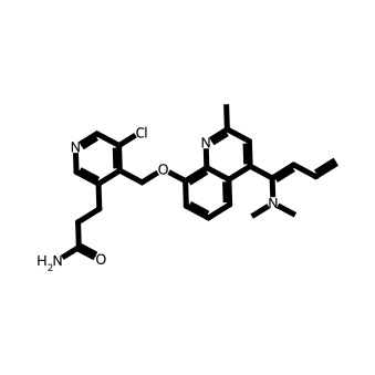 C=C/C=C(/c1cc(C)nc2c(OCc3c(Cl)cncc3CCC(N)=O)cccc12)N(C)C